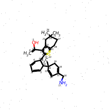 C=C(O)c1c(C2C=CC=CC2C2(C)C=CC(CN)=CC2)sc2c1CC(C)(C)CC2